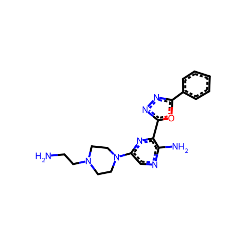 NCCN1CCN(c2cnc(N)c(-c3nnc(-c4ccccc4)o3)n2)CC1